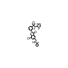 Cn1cnnc1[C@H](F)C1(c2cccc(N3Cc4c(Cl)cc(CNC5(C)CCC5)cc4C3=O)c2)COC1